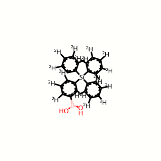 [2H]c1cc([Si](c2c([2H])c([2H])c([2H])c([2H])c2[2H])(c2c([2H])c([2H])c([2H])c([2H])c2[2H])c2c([2H])c([2H])c([2H])c(B(O)O)c2[2H])c([2H])c([2H])c1[2H]